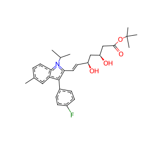 Cc1ccc2c(c1)c(-c1ccc(F)cc1)c(/C=C/[C@H](O)C[C@H](O)CC(=O)OC(C)(C)C)n2C(C)C